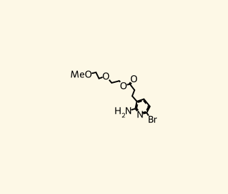 COCCOCCOC(=O)CCc1ccc(Br)nc1N